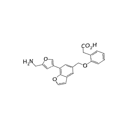 NCc1cc(-c2cc(COc3ccccc3CC(=O)O)cc3ccoc23)co1